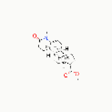 COC(=O)C1CC[C@H]2[C@@H]3CC=C4N(C)C(=O)CC[C@]4(C)[C@@H]3CC[C@]12C